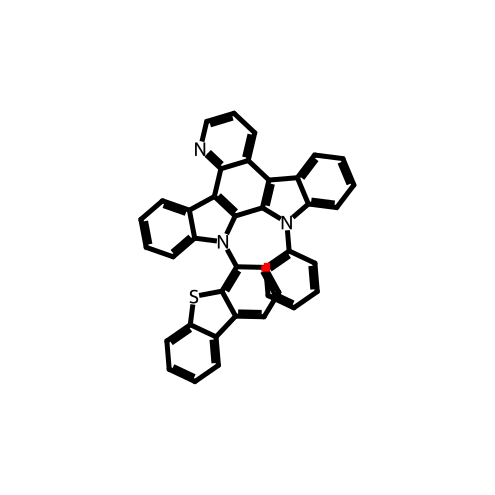 c1ccc(-n2c3ccccc3c3c4cccnc4c4c5ccccc5n(-c5cccc6c5sc5ccccc56)c4c32)cc1